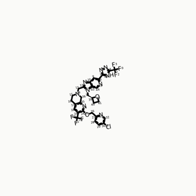 FC(F)(F)c1nnc(-c2cc3nc(CN4CCc5cc(C(F)(F)F)c(OCc6ccc(Cl)cn6)nc5C4)n(C[C@@H]4CCO4)c3cn2)[nH]1